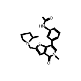 CC(=O)Nc1cccc(-c2cn(C)c(=O)c3cc(CN4CCCC4C)sc23)c1